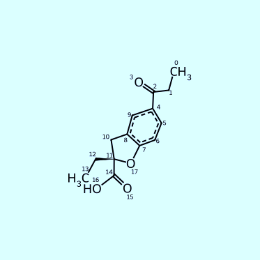 CCC(=O)c1ccc2c(c1)C[C@@](CC)(C(=O)O)O2